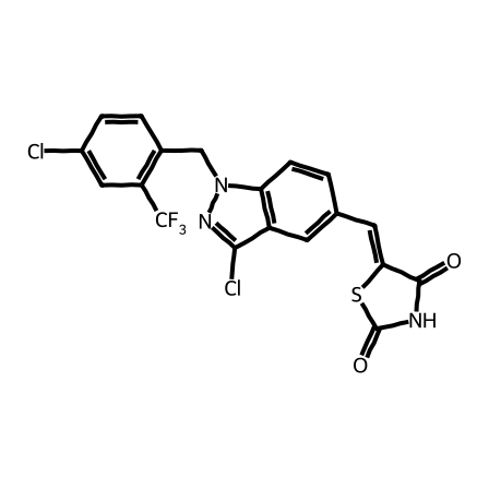 O=C1NC(=O)C(=Cc2ccc3c(c2)c(Cl)nn3Cc2ccc(Cl)cc2C(F)(F)F)S1